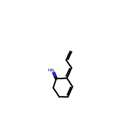 C=C/C=C1/C=CCCC1=N